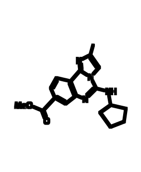 COC(=O)c1ccc2c(c1)nc(NC1CCCC1)n1cc(C)nc21